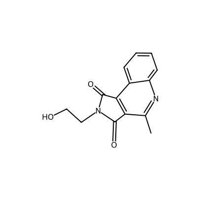 Cc1nc2ccccc2c2c1C(=O)N(CCO)C2=O